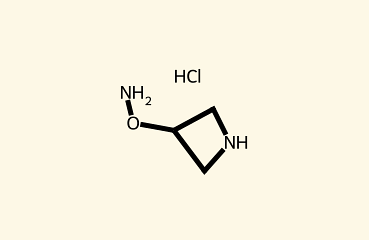 Cl.NOC1CNC1